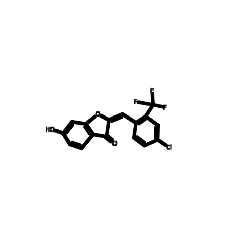 O=C1C(=Cc2ccc(Cl)cc2C(F)(F)F)Oc2cc(O)ccc21